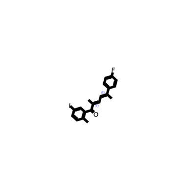 C/C(=C\C=C(/C)c1ccc(F)cc1)C(=O)c1cc(I)ccc1C